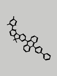 Cc1cc(C)c2c(c1)sc1c3c(ccc12)C(C)(C)c1cc(-c2c4ccccc4c(-c4ccc(-c5ccccc5)cc4)c4ccccc24)ccc1-3